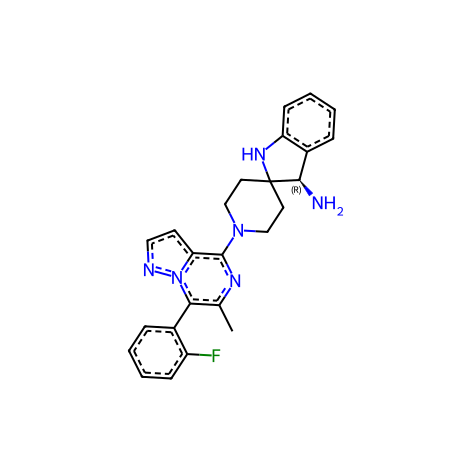 Cc1nc(N2CCC3(CC2)Nc2ccccc2[C@H]3N)c2ccnn2c1-c1ccccc1F